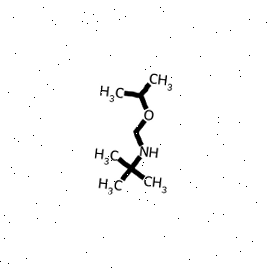 CC(C)OCNC(C)(C)C